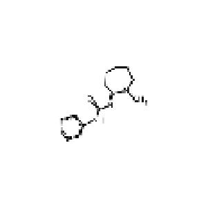 CN1CCCCCC1=NC(=O)Nc1ccccc1